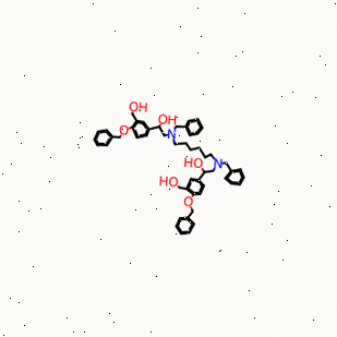 OCc1cc(C(O)CN(CCCCCCN(Cc2ccccc2)CC(O)c2ccc(OCc3ccccc3)c(CO)c2)Cc2ccccc2)ccc1OCc1ccccc1